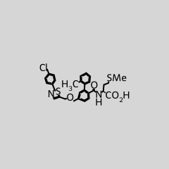 CSCC[C@H](NC(=O)c1ccc(COCc2cnc(-c3ccc(Cl)cc3)s2)cc1-c1ccccc1C)C(=O)O